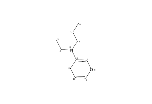 CCCN(CC)C1=[C]OC=CC1